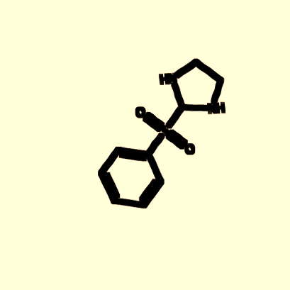 O=S(=O)(c1ccccc1)C1NCCN1